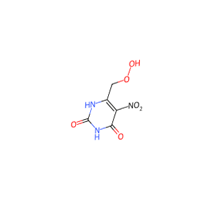 O=c1[nH]c(COO)c([N+](=O)[O-])c(=O)[nH]1